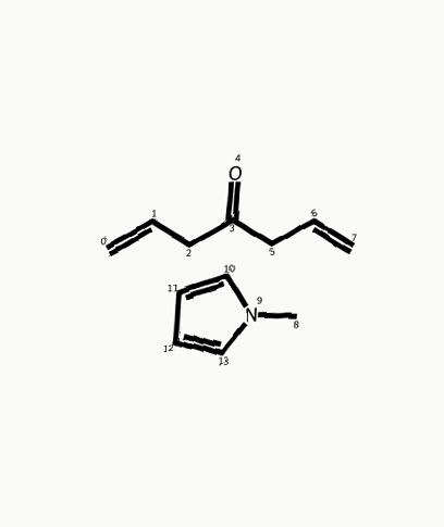 C=CCC(=O)CC=C.Cn1cccc1